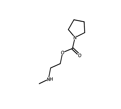 CNCCOC(=O)N1CCCC1